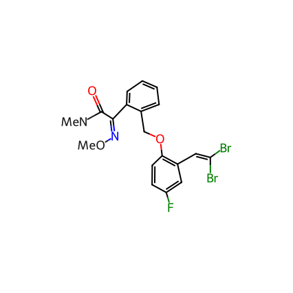 CNC(=O)C(=NOC)c1ccccc1COc1ccc(F)cc1C=C(Br)Br